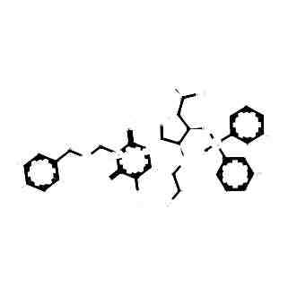 COCCO[C@@H]1[C@H](O[Si](c2ccccc2)(c2ccccc2)C(C)(C)C)[C@@H]([C@@H](C)O)O[C@H]1n1cc(C)c(=O)n(COCc2ccccc2)c1=O